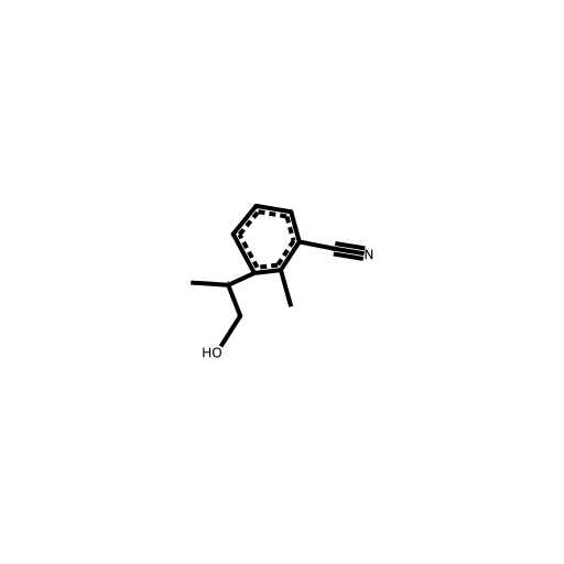 C[C](CO)c1cccc(C#N)c1C